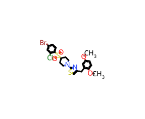 COc1ccc(OC)c(Cc2csc(N3CCC(S(=O)(=O)c4ccc(Br)cc4Cl)CC3)n2)c1